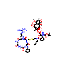 CCCCN(CCSSC[C@@H]1NC(=O)[C@@H](Cc2ccccc2)NC(=O)[C@H](C)NC(=O)CNC(=O)[C@H](CCCNC(=N)N)NC1=O)C(=O)O[C@@H](C(=O)OC1C[C@@]2(O)[C@@H](C)[C@@H]3[C@]4(C)CO[C@@H]4C[C@H](OC)[C@@]3(C)C(=O)[C@H](OC)C(=C1C)C2(C)C)[C@@H](NC(=O)OC(C)(C)C)c1ccccc1